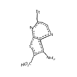 CCc1cnc2c(N)c(C(=O)O)sc2n1